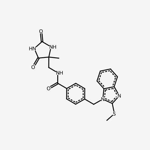 CSc1nc2ccccc2n1Cc1ccc(C(=O)NCC2(C)NC(=O)NC2=O)cc1